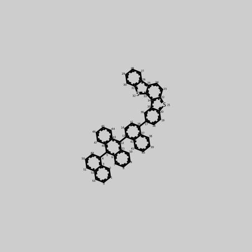 c1ccc2c(-c3c4ccccc4c(-c4ccc(-c5ccc6sc7ccc8c9ccccc9sc8c7c6c5)c5ccccc45)c4ccccc34)cccc2c1